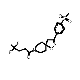 CC(F)(F)CCC(=O)N1CCC2(CC1)CC(c1ccc(S(C)(=O)=O)cc1)=NO2